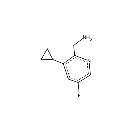 NCc1ncc(F)cc1C1CC1